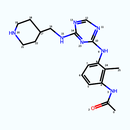 CC(=O)Nc1cccc(Nc2ncnc(NCC3CCNCC3)n2)c1C